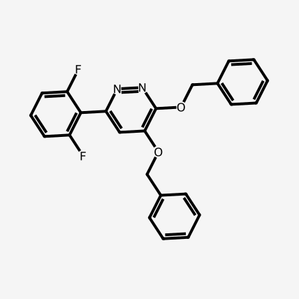 Fc1cccc(F)c1-c1cc(OCc2ccccc2)c(OCc2ccccc2)nn1